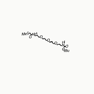 CSCC(=O)NCCCOCCCOCCCOCCCNC(=O)OC(C)(C)C